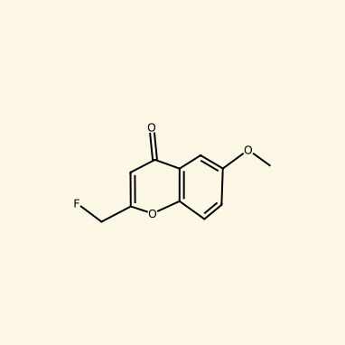 COc1ccc2oc(CF)cc(=O)c2c1